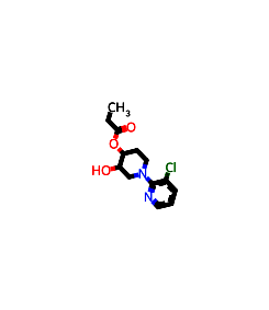 CCC(=O)OC1CCN(c2ncccc2Cl)CC1O